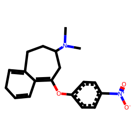 CN(C)C1CCC2=CCC=CC2=C(Oc2ccc([N+](=O)[O-])cc2)C1